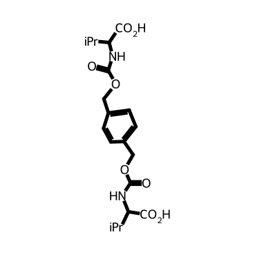 CC(C)C(NC(=O)OCc1ccc(COC(=O)NC(C(=O)O)C(C)C)cc1)C(=O)O